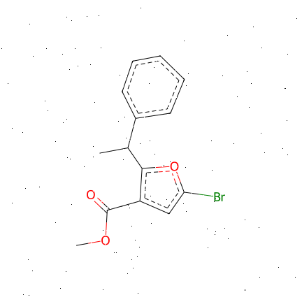 COC(=O)c1cc(Br)oc1C(C)c1ccccc1